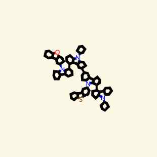 c1ccc(-n2c3ccccc3c3c(-c4cccc5c6cc(-c7ccc8c(c7)c7c(-c9cccc%10c%11ccccc%11n(-c%11ccc%12oc%13ccccc%13c%12c%11)c9%10)cccc7n8-c7ccccc7)ccc6n(-c6ccc7sc8ccccc8c7c6)c45)cccc32)cc1